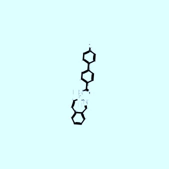 O=C(N[SH]1C=Cc2ccccc2C=N1)c1ccc(-c2ccc(F)cc2)cc1